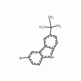 CC(C)(C)c1ccc2[nH]c3ccc(Br)cc3c2c1